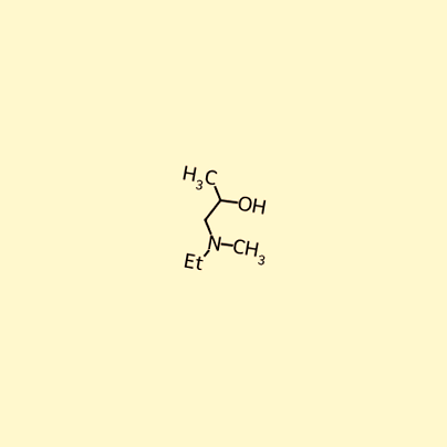 CCN(C)CC(C)O